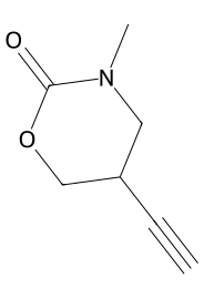 C#CC1COC(=O)N(C)C1